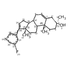 C[C@]1(O)CC[C@@]2(C)C(=CCC3C2CC[C@]2(C)C(c4cncc(F)c4)=CCC32)C1